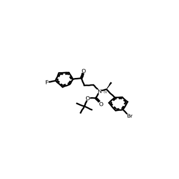 C[C@@H](c1ccc(Br)cc1)N(CCC(=O)c1ccc(F)cc1)C(=O)OC(C)(C)C